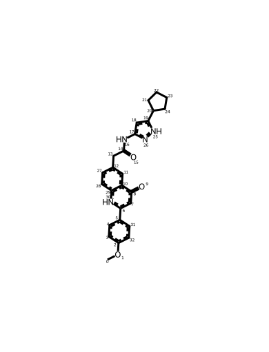 COc1ccc(-c2cc(=O)c3cc(CC(=O)Nc4cc(C5CCCC5)[nH]n4)ccc3[nH]2)cc1